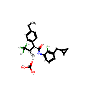 CCc1ccc([C@@H](C(=O)Nc2cccc(CC3CC3)c2F)[C@@H](C)C(F)(F)F)cc1.O=C(O)O